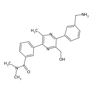 Cc1nc(-c2cccc(CN)c2)c(CO)nc1-c1cccc(C(=O)N(C)C)c1